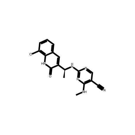 CNc1nc(N[C@@H](C)c2cc3cccc(Cl)c3[nH]c2=O)ncc1C#N